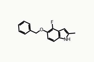 Cc1cc2c(F)c(OCc3ccccc3)ccc2[nH]1